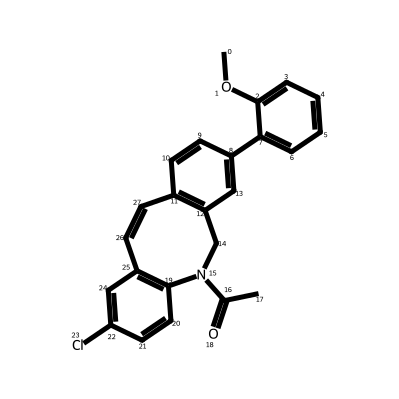 COc1ccccc1-c1ccc2c(c1)CN(C(C)=O)c1ccc(Cl)cc1C=C2